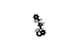 O=C(NN1C(=O)CCCc2ccccc21)c1cc(NC(=O)c2ccccc2Cl)[nH]n1